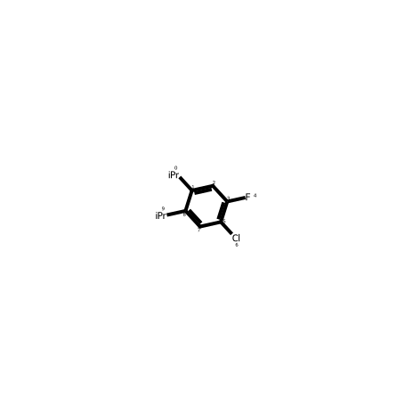 CC(C)c1cc(F)c(Cl)cc1C(C)C